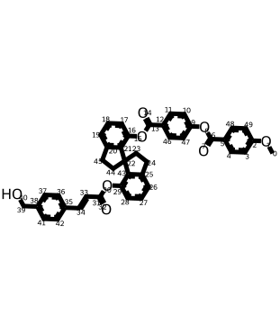 COc1ccc(C(=O)Oc2ccc(C(=O)Oc3cccc4c3C3(CCc5cccc(OC(=O)/C=C/c6ccc(CO)cc6)c53)CC4)cc2)cc1